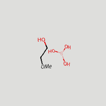 COCCO.OB(O)O